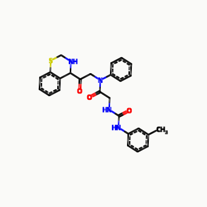 Cc1cccc(NC(=O)NCC(=O)N(CC(=O)C2NCSc3ccccc32)c2ccccc2)c1